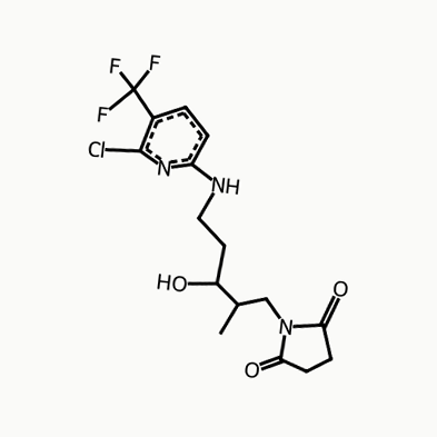 CC(CN1C(=O)CCC1=O)C(O)CCNc1ccc(C(F)(F)F)c(Cl)n1